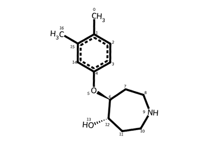 Cc1ccc(O[C@H]2CCNCC[C@@H]2O)cc1C